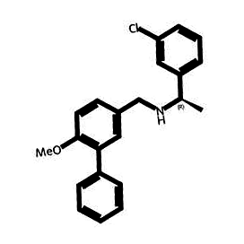 COc1ccc(CN[C@H](C)c2cccc(Cl)c2)cc1-c1ccccc1